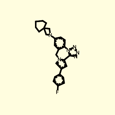 Fc1ccc(-c2cc3n(c2)Cc2cc(N4CC5(CCCCC5)C4)ccc2-n2nnnc2-3)cc1